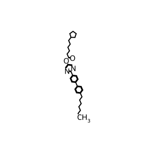 CCCCCCCc1ccc(-c2ccc(-c3ncc(OC(=O)CCCCCC4CCCC4)cn3)cc2)cc1